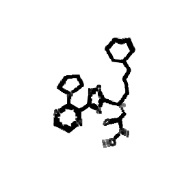 O=C(C[C@@H](CCCC1CCCCC1)c1nc(-c2nccnc2N2CCCC2)no1)NO